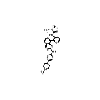 C=C(C)C(=O)Nc1cccnc1-c1nccc2cnc(Nc3ccc(N4CCN(C)CC4)cc3)nc12